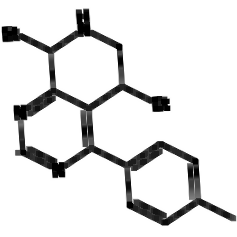 CCC1CNC(CC)c2n[c]nc(-c3ccc(C)cc3)c21